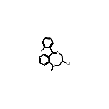 CN1CC(Cl)CN=C(c2ccccc2F)c2ccccc21